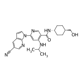 CC(C)Nc1cc(-n2ccc3cc(C#N)cnc32)ncc1C(=O)N[C@H]1CC[C@H](CO)CC1